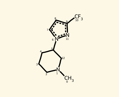 CN1CCCC(n2c[c]c(C(F)(F)F)n2)C1